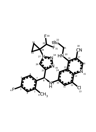 Cc1cc(F)ccc1[C@H](Nc1cc(Cl)c2ncc(C#N)c(NCC(C)(C)C)c2c1)c1cn(C2(C(F)F)CC2)nn1